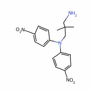 CC(C)(CN)CN(c1ccc([N+](=O)[O-])cc1)c1ccc([N+](=O)[O-])cc1